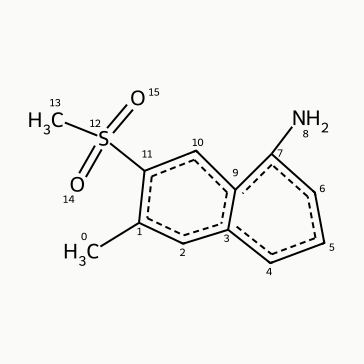 Cc1cc2cccc(N)c2cc1S(C)(=O)=O